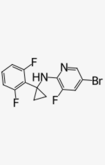 Fc1cc(Br)cnc1NC1(c2c(F)cccc2F)CC1